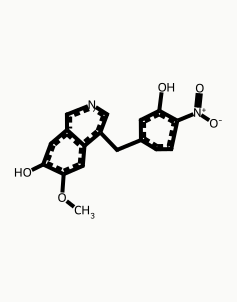 COc1cc2c(Cc3ccc([N+](=O)[O-])c(O)c3)cncc2cc1O